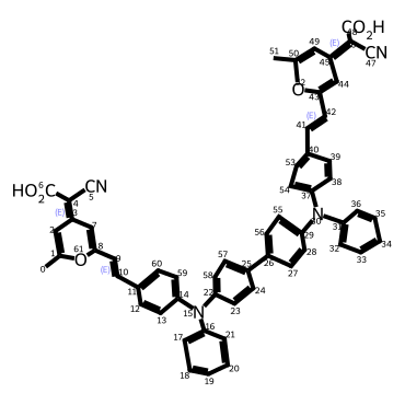 CC1=C/C(=C(/C#N)C(=O)O)C=C(/C=C/c2ccc(N(c3ccccc3)c3ccc(-c4ccc(N(c5ccccc5)c5ccc(/C=C/C6=CC(=C(\C#N)C(=O)O)/C=C(C)O6)cc5)cc4)cc3)cc2)O1